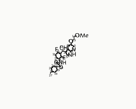 COCCOc1cnc2[nH]cc(C(O)c3c(F)ccc(NS(=O)(=O)c4ccc(C)cc4)c3F)c2c1